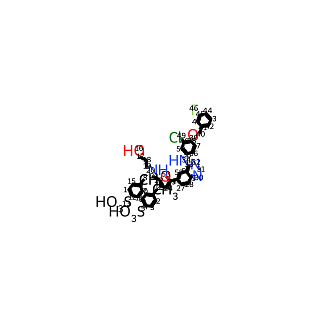 Cc1ccc(S(=O)(=O)O)cc1.Cc1ccc(S(=O)(=O)O)cc1.OCCCNCc1ccc(-c2ccc3ncnc(Nc4ccc(OCc5cccc(F)c5)c(Cl)c4)c3c2)o1